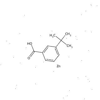 CC(C)(C)c1cccc(C(=O)O)c1.[Zn]